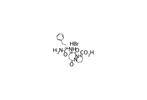 Br.NC(=O)[C@H](CCc1ccccc1)N[C@H]1CCC(=O)N2CCC[C@@H](C(=O)O)N2C1=O